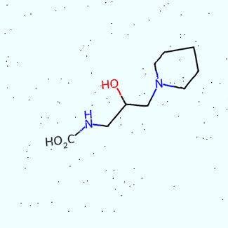 O=C(O)NCC(O)CN1CCCCC1